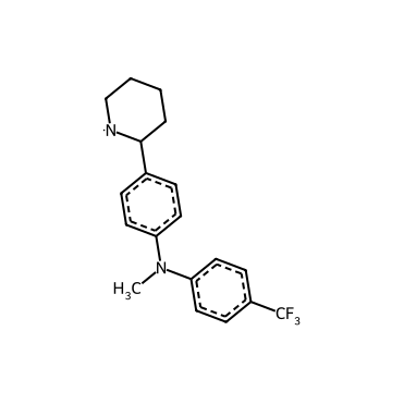 CN(c1ccc(C2CCCC[N]2)cc1)c1ccc(C(F)(F)F)cc1